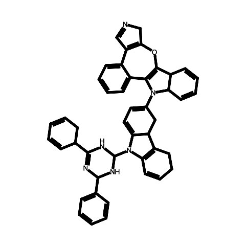 C1=CCC(C2=NC(c3ccccc3)NC(N3C4=CC=C(N5C6=C(OC7=C(C=NC7)c7ccccc76)C6C=CC=CC65)CC4C4=C3C=CCC4)N2)C=C1